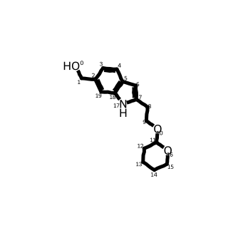 OCc1ccc2cc(CCOC3CCCCO3)[nH]c2c1